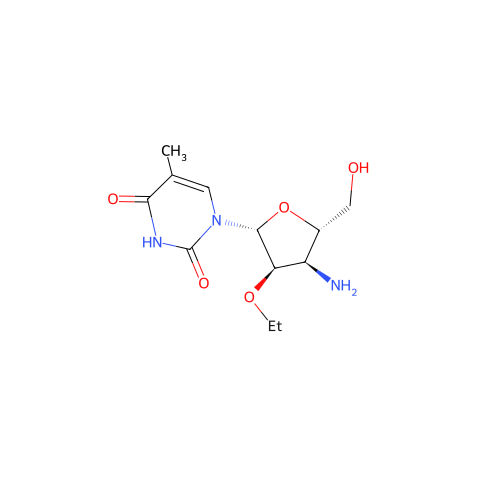 CCO[C@@H]1[C@H](N)[C@@H](CO)O[C@H]1n1cc(C)c(=O)[nH]c1=O